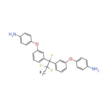 Nc1ccc(Oc2cccc(C(F)(c3cccc(Oc4ccc(N)cc4)c3)C(F)(F)C(F)(F)F)c2)cc1